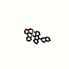 c1ccc(-c2ccccc2N(c2ccccn2)c2c3ccccc3c(-c3ccc4ccccc4c3)c3ccccc23)cc1